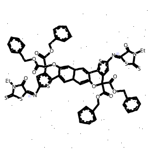 CCN1C(=O)/C(=N/c2cc3c(s2)C2=CC4C=C5OC(C(=O)OCc6ccccc6)(C(=O)OCc6ccccc6)c6cc(/N=C7/SC(=S)N(CC)C7=O)sc6C5=CC4C=C2OC3(C(=O)OCc2ccccc2)C(=O)OCc2ccccc2)SC1=S